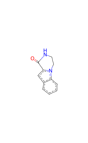 O=C1NCCn2c1cc1ccccc12